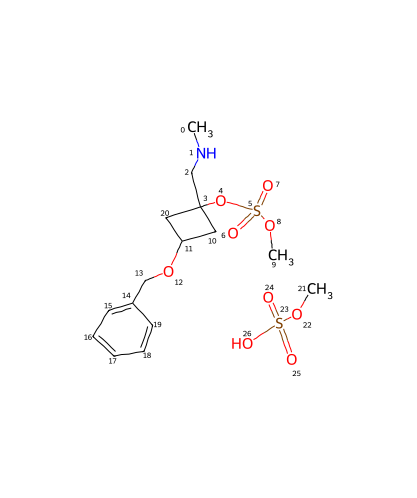 CNCC1(OS(=O)(=O)OC)CC(OCc2ccccc2)C1.COS(=O)(=O)O